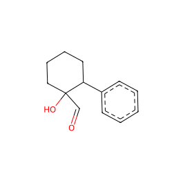 O=CC1(O)CCCCC1c1ccccc1